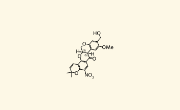 COc1cc2c(cc1CO)OC[C@H]1Oc3c(cc([N+](=O)[O-])c4c3C=CC(C)(C)O4)C(=O)[C@@H]21